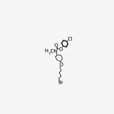 CN(C(=O)Oc1ccc(Cl)cc1)C1CCC(OCCCCCBr)CC1